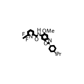 COc1cc2nc([C@H]3CC[C@H](C(C)C)CC3)oc2cc1NC(=O)c1cccc(C(C)(F)F)n1